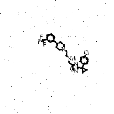 FC(F)(F)c1cccc(C2CCN(CCNCc3nc(C4(c5ccc(Cl)cc5)CC4)no3)CC2)c1